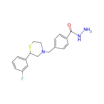 NNC(=O)c1ccc(CN2CCSC(c3cccc(F)c3)C2)cc1